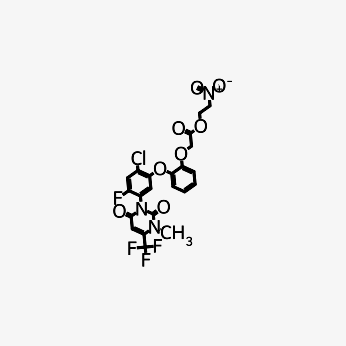 Cn1c(C(F)(F)F)cc(=O)n(-c2cc(Oc3ccccc3OCC(=O)OCC[N+](=O)[O-])c(Cl)cc2F)c1=O